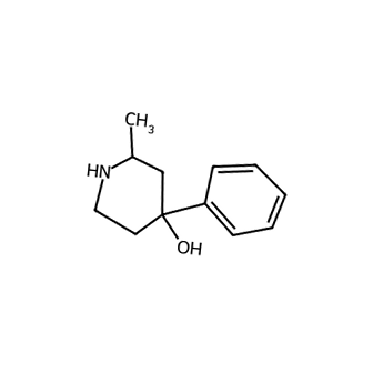 CC1CC(O)(c2ccccc2)CCN1